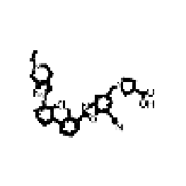 CCN1CCc2cn(-c3cccc(-c4cccc(-c5nc6cc(CN7CCC(C(=O)O)C7)cc(C#N)c6o5)c4C)c3Cl)nc2C1